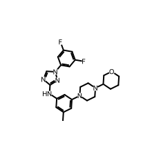 Cc1cc(Nc2ncn(-c3cc(F)cc(F)c3)n2)cc(N2CCN(C3CCCOC3)CC2)c1